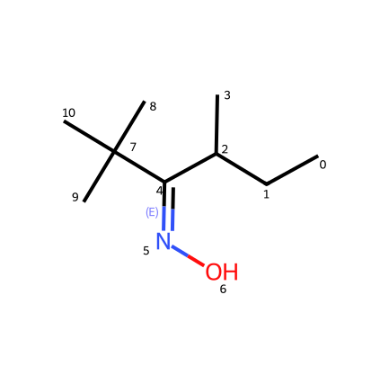 CCC(C)/C(=N\O)C(C)(C)C